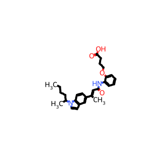 CCCCC(C)n1ccc2cc(C(C)=CC(=O)Nc3ccccc3OCCCC(=O)O)ccc21